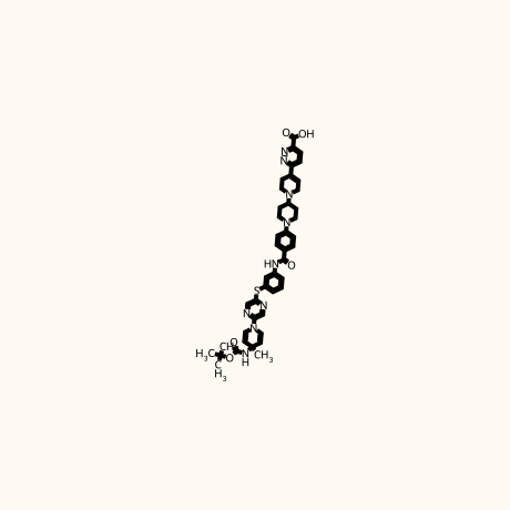 CC1(NC(=O)OC(C)(C)C)C=CN(c2cnc(Sc3cccc(NC(=O)c4ccc(N5CCC(N6CC=C(c7ccc(C(=O)O)nn7)CC6)CC5)cc4)c3)cn2)C=C1